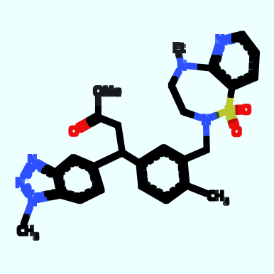 CCN1CCN(Cc2cc(C(CC(=O)OC)c3ccc4c(c3)nnn4C)ccc2C)S(=O)(=O)c2cccnc21